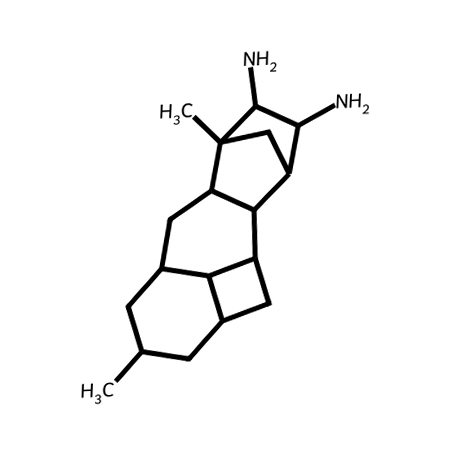 CC1CC2CC3C2C(C1)CC1C3C2CC1(C)C(N)C2N